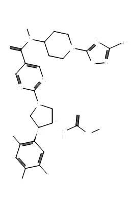 CCN(C(=O)c1cnc(N2C[C@H](NC(=O)OC(C)(C)C)[C@@H](c3cc(F)c(F)cc3F)C2)nc1)C1CCN(c2nc(C(C)C)no2)CC1